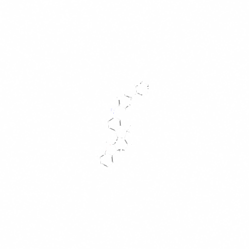 CC1(C)c2cc(Nc3ccc(-c4ccccc4)cc3)ccc2-c2c1ccc1c2oc2ccccc21